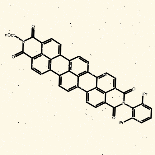 CCCCCCCCN1C(=O)c2ccc3c4ccc5c6ccc7c8c(ccc(c9ccc(c%10ccc(c2c3%10)C1=O)c4c59)c86)C(=O)N(c1c(C(C)C)cccc1C(C)C)C7=O